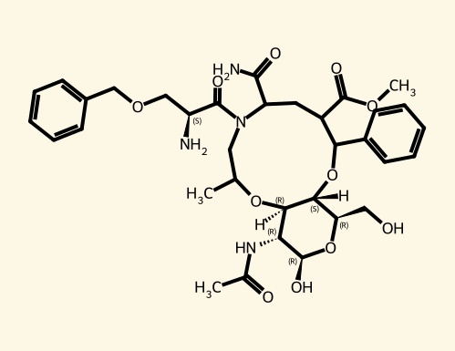 COC(=O)C1CC(C(N)=O)N(C(=O)[C@@H](N)COCc2ccccc2)CC(C)O[C@@H]2[C@@H](NC(C)=O)[C@H](O)O[C@H](CO)[C@H]2OC1c1ccccc1